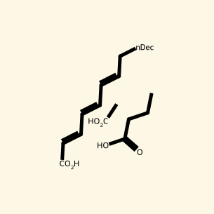 CC(=O)O.CCCC(=O)O.CCCCCCCCCCC/C=C/C=C/C=C/C(=O)O